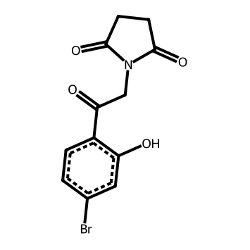 O=C(CN1C(=O)CCC1=O)c1ccc(Br)cc1O